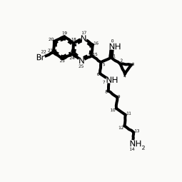 N=C(C1CC1)C(CNCCCCCCN)c1cnc2ccc(Br)cc2n1